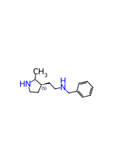 CC1NCC[C@@H]1CCNCc1ccccc1